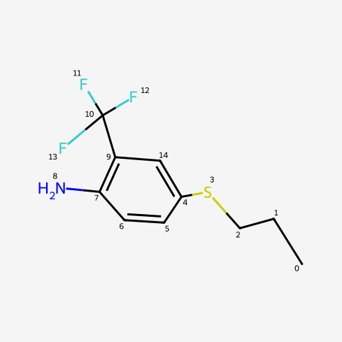 CCCSc1ccc(N)c(C(F)(F)F)c1